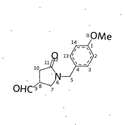 COc1ccc(CN2CC(C=O)CC2=O)cc1